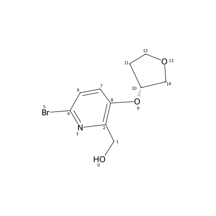 OCc1nc(Br)ccc1O[C@@H]1CCOC1